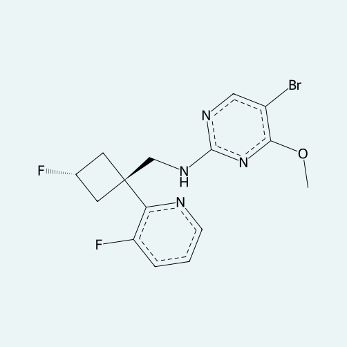 COc1nc(NC[C@]2(c3ncccc3F)C[C@@H](F)C2)ncc1Br